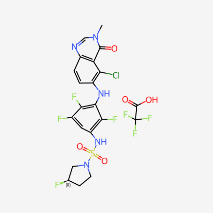 Cn1cnc2ccc(Nc3c(F)c(F)cc(NS(=O)(=O)N4CC[C@@H](F)C4)c3F)c(Cl)c2c1=O.O=C(O)C(F)(F)F